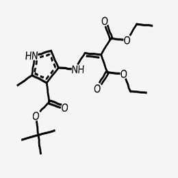 CCOC(=O)C(=CNc1c[nH]c(C)c1C(=O)OC(C)(C)C)C(=O)OCC